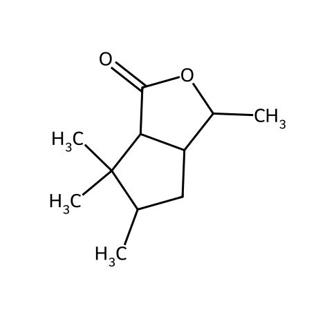 CC1OC(=O)C2C1CC(C)C2(C)C